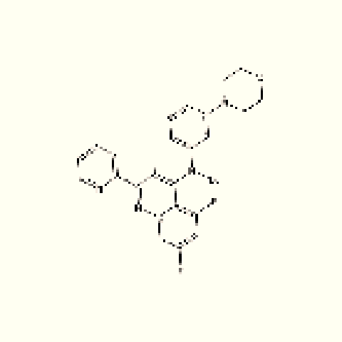 CCN(c1cncc(N2CCOCC2)c1)c1c(C)c(-c2ccccn2)nc2cc(F)cc(F)c12